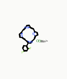 Fc1ccc(-c2cc3cc4nc(cc5ccc(cc6nc(cc2[nH]3)C=C6)[nH]5)C=C4)c(F)c1.[Cl-].[Cl-].[Mn+2]